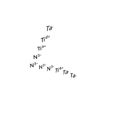 [N-3].[N-3].[N-3].[N-3].[Ta].[Ta].[Ta].[Ti+4].[Ti+4].[Ti+4]